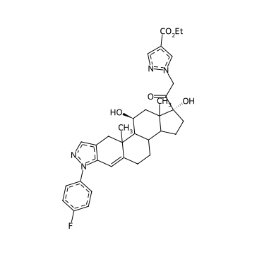 CCOC(=O)c1cnn(CC(=O)[C@@]2(O)CCC3C4CCC5=Cc6c(cnn6-c6ccc(F)cc6)CC5(C)C4[C@@H](O)CC32C)c1